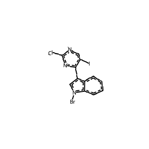 Clc1ncc(I)c(-c2cn(Br)c3ccccc23)n1